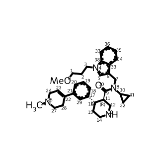 COCCCn1cc(CN(C(=O)[C@H]2CNCC[C@@H]2c2cccc(C3=CCN(C)CC3)c2)C2CC2)c2ccccc21